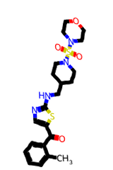 Cc1ccccc1C(=O)c1cnc(NCC2CCN(S(=O)(=O)N3CCOCC3)CC2)s1